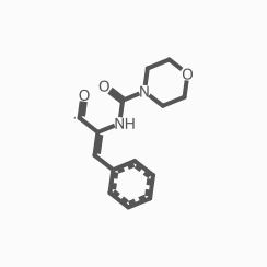 O=[C]C(=Cc1ccccc1)NC(=O)N1CCOCC1